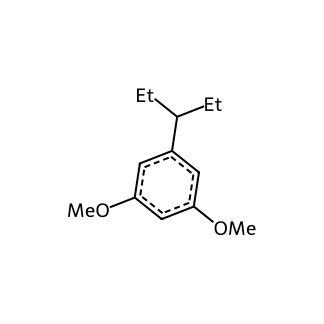 CCC(CC)c1cc(OC)cc(OC)c1